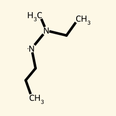 CCC[N]N(C)CC